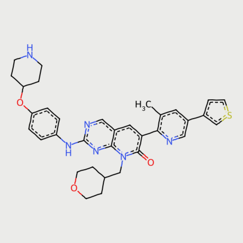 Cc1cc(-c2ccsc2)cnc1-c1cc2cnc(Nc3ccc(OC4CCNCC4)cc3)nc2n(CC2CCOCC2)c1=O